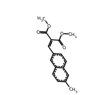 COC(=O)C(=Cc1ccc2cc(C)ccc2c1)C(=O)OC